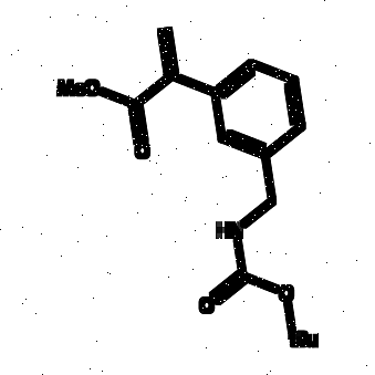 C=C(C(=O)OC)c1cccc(CNC(=O)OC(C)(C)C)c1